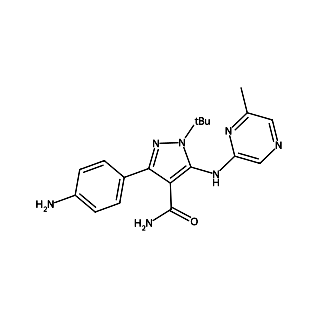 Cc1cncc(Nc2c(C(N)=O)c(-c3ccc(N)cc3)nn2C(C)(C)C)n1